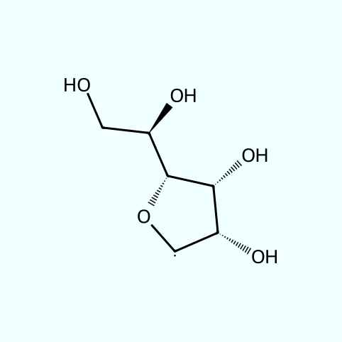 OC[C@@H](O)[C@H]1O[CH][C@@H](O)[C@H]1O